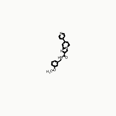 COc1cccc(CNC(=O)c2cn3ccc(-c4ccncc4)cc3n2)c1